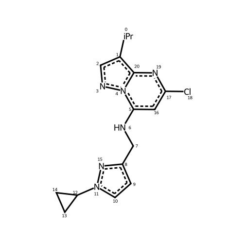 CC(C)c1cnn2c(NCc3ccn(C4CC4)n3)cc(Cl)nc12